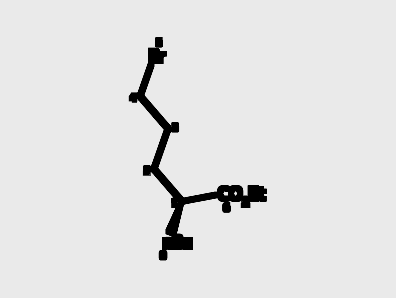 CCCC[C@@H](CCCBr)C(=O)OCC